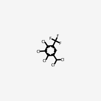 FC(F)(F)c1[c]c(C(Cl)Cl)c(Cl)c(Cl)c1Cl